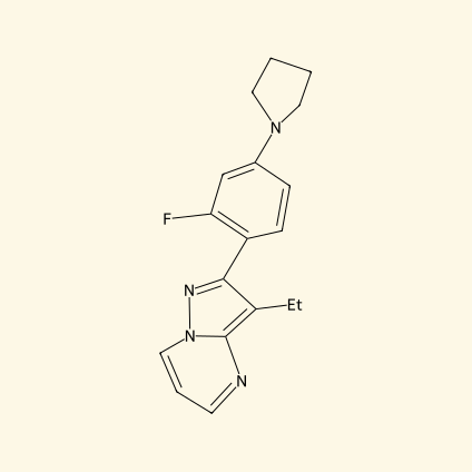 CCc1c(-c2ccc(N3CCCC3)cc2F)nn2cccnc12